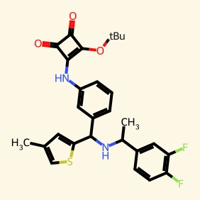 Cc1csc(C(NC(C)c2ccc(F)c(F)c2)c2cccc(Nc3c(OC(C)(C)C)c(=O)c3=O)c2)c1